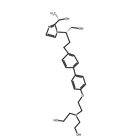 C[C@H](O)c1nccn1[C@H](CO)CCc1ccc(-c2ccc(OCCN(CCO)CCO)cc2)cc1